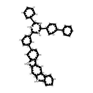 c1ccc(-c2ccc(-c3nc(-c4ccccc4)nc(-c4cccc(-c5ccc6c(c5)oc5cc7oc8ccccc8c7cc56)c4)n3)cc2)cc1